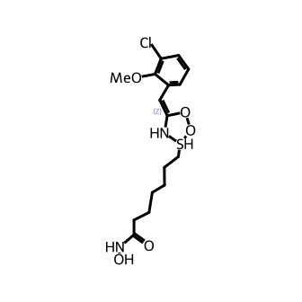 COc1c(Cl)cccc1/C=C1/N[SH](CCCCCCC(=O)NO)OO1